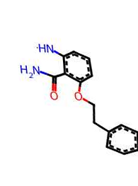 [NH]c1cccc(OCCc2ccccc2)c1C(N)=O